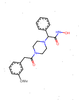 COc1cccc(CC(=O)N2CCN(C(C(=O)NO)c3ccccc3)CC2)c1